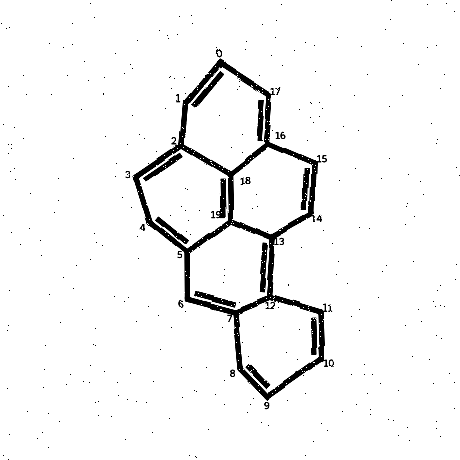 [c]1cc2ccc3cc4ccccc4c4ccc(c1)c2c34